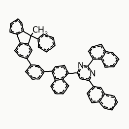 CC1(c2ccccc2)c2ccccc2-c2ccc(-c3cccc(-c4ccc(-c5cc(-c6ccc7ccccc7c6)nc(-c6cccc7ccccc67)n5)c5ccccc45)c3)cc21